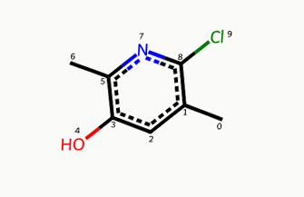 Cc1cc(O)c(C)nc1Cl